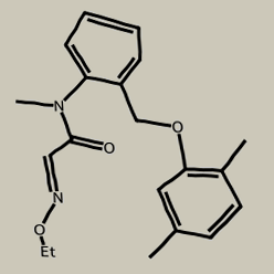 CCON=CC(=O)N(C)c1ccccc1COc1cc(C)ccc1C